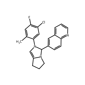 Cc1cc(F)c(Cl)cc1N1C=C2CCCN2C1c1ccc2ncccc2c1